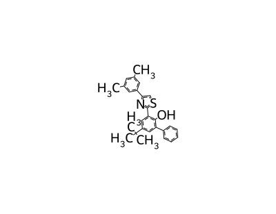 Cc1cc(C)cc(-c2csc(-c3cc(C(C)(C)C)cc(-c4ccccc4)c3O)n2)c1